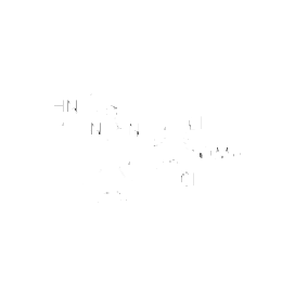 COc1c(Cl)cc(CN(C)C(=O)C2(N3CCNCC3)Cc3ccccc3C2)cc1Cl